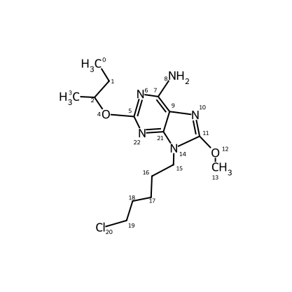 CCC(C)Oc1nc(N)c2nc(OC)n(CCCCCCl)c2n1